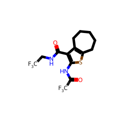 O=C(NCC(F)(F)F)c1c(NC(=O)C(F)(F)F)sc2c1CCCCC2